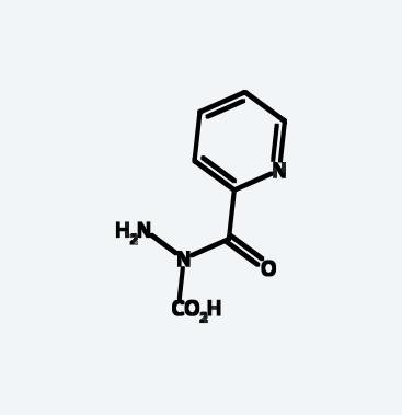 NN(C(=O)O)C(=O)c1ccccn1